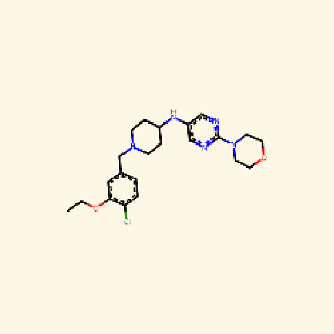 CCOc1cc(CN2CCC(Nc3cnc(N4CCOCC4)nc3)CC2)ccc1Cl